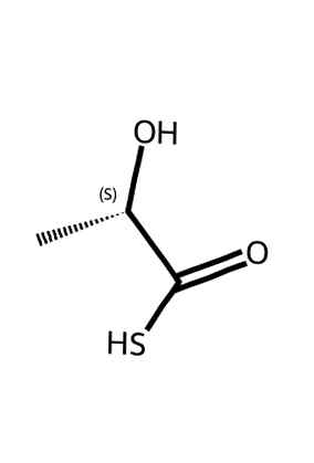 C[C@H](O)C(=O)S